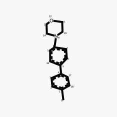 Cc1ccc(-c2[c]cc(N3CCOCC3)cc2)cc1